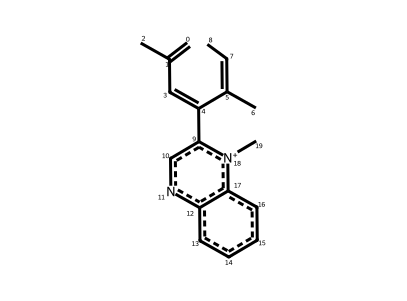 C=C(C)/C=C(\C(C)=C/C)c1cnc2ccccc2[n+]1C